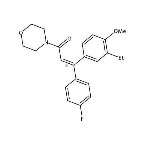 CCc1cc(/C(=C\C(=O)N2CCOCC2)c2ccc(F)cc2)ccc1OC